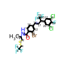 C[C@H](CSCC(F)(F)F)NC(=O)c1ccc(/C=C/C(c2cc(Cl)c(F)c(Cl)c2)C(F)(F)F)cc1Br